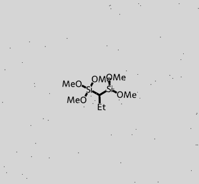 CCC([Si](OC)OC)[Si](OC)(OC)OC